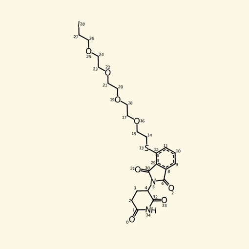 O=C1CCC(N2C(=O)c3cccc(SCCOCCOCCOCCOCCI)c3C2=O)C(=O)N1